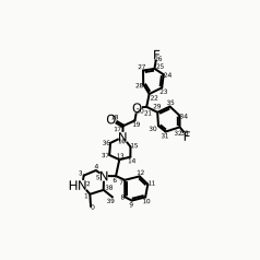 CC1NCCN(C(c2ccccc2)C2CCN(C(=O)COC(c3ccc(F)cc3)c3ccc(F)cc3)CC2)C1C